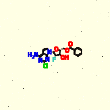 Nc1nc(Cl)nc2c1ccn2[C@@H]1O[C@H](COC(=O)c2ccccc2)[C@@H](O)[C@@H]1F